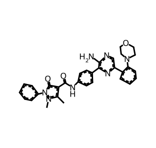 Cc1c(C(=O)Nc2ccc(-c3nc(-c4ccccc4N4CCOCC4)cnc3N)cc2)c(=O)n(-c2ccccc2)n1C